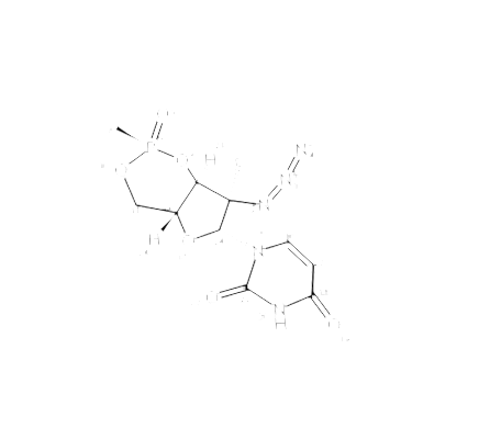 C[C@@]1(N=[N+]=[N-])[C@@H]2O[P@@](C)(=O)OC[C@H]2O[C@H]1n1ccc(=O)[nH]c1=O